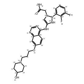 NC(=O)CN1C=C(Nc2ncnc3cc(OCCCN4CCC(O)CC4)ccc23)NN1c1cccc(F)c1F